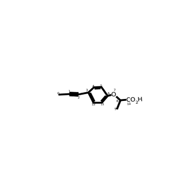 CC#Cc1ccc(OC(C)C(=O)O)cc1